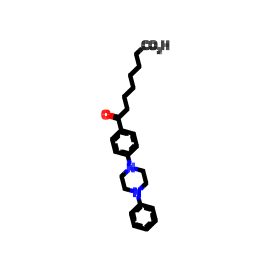 O=C(O)CCCCCCC(=O)c1ccc(N2CCN(c3ccccc3)CC2)cc1